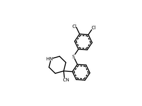 N#CC1(c2ccccc2Sc2ccc(Cl)c(Cl)c2)CCNCC1